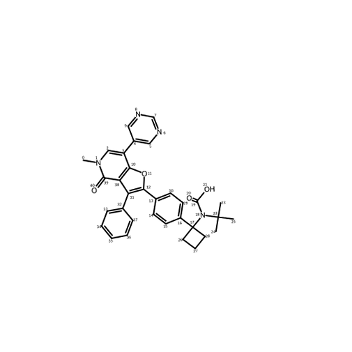 Cn1cc(-c2cncnc2)c2oc(-c3ccc(C4(N(C(=O)O)C(C)(C)C)CCC4)cc3)c(-c3ccccc3)c2c1=O